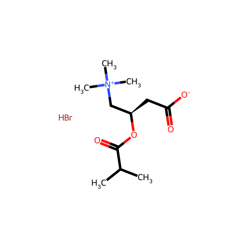 Br.CC(C)C(=O)O[C@H](CC(=O)[O-])C[N+](C)(C)C